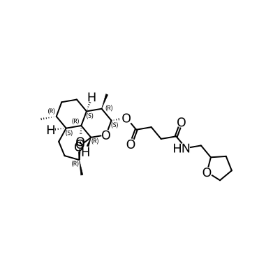 C[C@H]1[C@H](OC(=O)CCC(=O)NCC2CCCO2)O[C@@H]2O[C@@]3(C)CC[C@H]4[C@H](C)CC[C@@H]1[C@@]24OO3